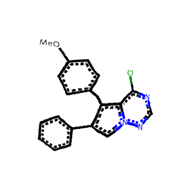 COc1ccc(-c2c(-c3ccccc3)cn3ncnc(Cl)c23)cc1